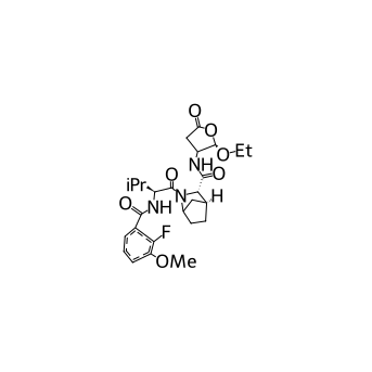 CCO[C@@H]1OC(=O)CC1NC(=O)[C@@H]1[C@H]2CCC(C2)N1C(=O)[C@@H](NC(=O)c1cccc(OC)c1F)C(C)C